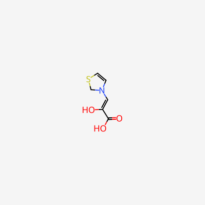 O=C(O)C(O)=CN1C=CSC1